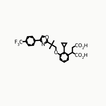 CC(C)(COc1cccc(C(CC(=O)O)C(=O)O)c1C1CC1)c1nc(-c2ccc(C(F)(F)F)cc2)co1